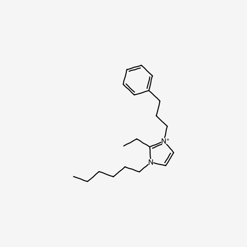 CCCCCCn1cc[n+](CCCc2ccccc2)c1CC